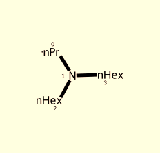 CC[CH]N(CCCCCC)CCCCCC